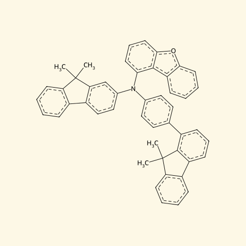 CC1(C)c2ccccc2-c2ccc(N(c3ccc(-c4cccc5c4C(C)(C)c4ccccc4-5)cc3)c3cccc4oc5ccccc5c34)cc21